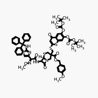 CON=C(C(=O)NC1C(=O)N2CC(CSc3cc(=O)c4cc(OC(=O)OC(C)(C)C)c(OC(=O)OC(C)(C)C)cc4s3)(C(=O)OCc3ccc(OC)cc3)CS[C@H]12)c1csc(NC(c2ccccc2)(c2ccccc2)c2ccccc2)n1